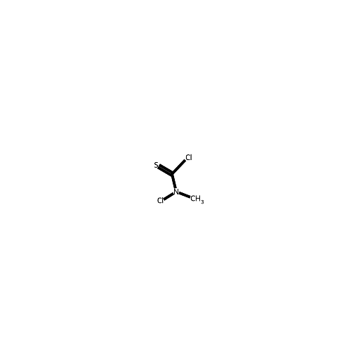 CN(Cl)C(=S)Cl